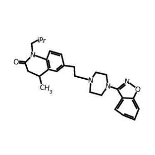 CC(C)CN1C(=O)CC(C)c2cc(CCN3CCN(c4noc5ccccc45)CC3)ccc21